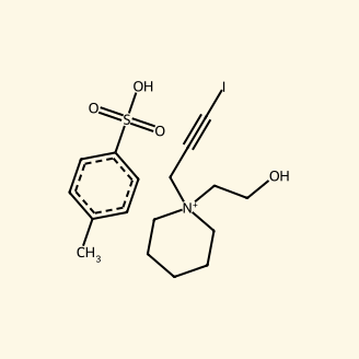 Cc1ccc(S(=O)(=O)O)cc1.OCC[N+]1(CC#CI)CCCCC1